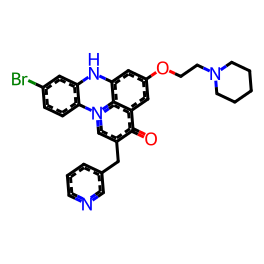 O=c1c(Cc2cccnc2)cn2c3c(cc(OCCN4CCCCC4)cc13)Nc1cc(Br)ccc1-2